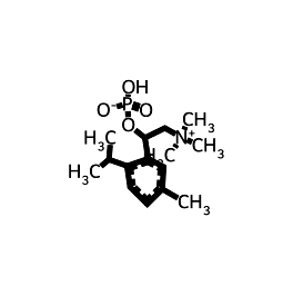 Cc1ccc(C(C)C)c(C(C[N+](C)(C)C)OP(=O)([O-])O)c1